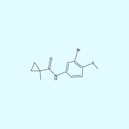 CSc1ccc(NC(=O)C2(C)CC2)cc1Br